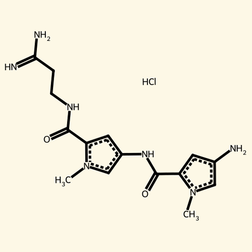 Cl.Cn1cc(NC(=O)c2cc(N)cn2C)cc1C(=O)NCCC(=N)N